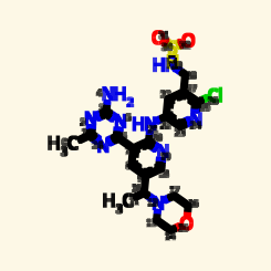 Cc1nc(N)nc(-c2cc(C(C)N3CCOCC3)cnc2Nc2cnc(Cl)c(CN[SH](=O)=O)c2)n1